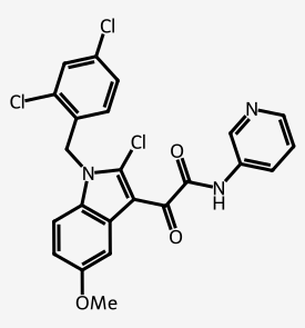 COc1ccc2c(c1)c(C(=O)C(=O)Nc1cccnc1)c(Cl)n2Cc1ccc(Cl)cc1Cl